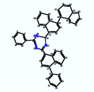 c1ccc(C2=NC(c3ccc(-c4ccccc4)c4ccccc34)=NC(c3ccc(-c4cccc5ccccc45)c4ccccc34)N2)cc1